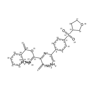 C=C(N)C(=N\C(=C/N)c1ccc(S(=O)(=O)C2CCOC2)cc1)/C(=N/N)OC(=C)c1ccccc1F